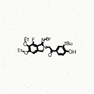 CCOc1cc2c(c(F)c1OCC)/C(=N/Br)N(CC(=O)c1ccc(O)c(C(C)(C)C)c1)C2